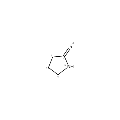 S=C1C[CH]CN1